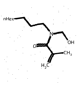 C=C(C)C(=O)N(CO)CCCCCCCCC